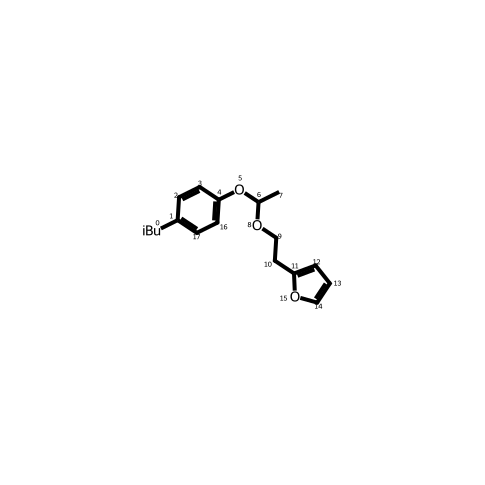 CCC(C)c1ccc(OC(C)OCCc2ccco2)cc1